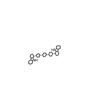 c1ccc2c(c1)[nH]c1c(-c3ccc(-c4ccc(-c5ccc(-c6cccc7c6[nH]c6ccccc67)cc5)cc4)cc3)cccc12